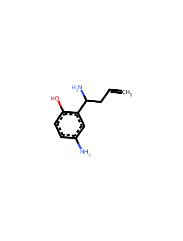 C=CCC(N)c1cc(N)ccc1O